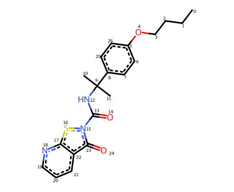 CCCCOc1ccc(C(C)(C)NC(=O)n2sc3ncccc3c2=O)cc1